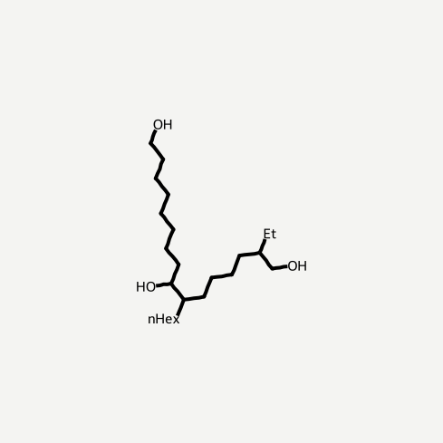 CCCCCCC(CCCCC(CC)CO)C(O)CCCCCCCCO